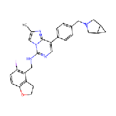 N#Cc1cn2c(NCc3c(I)ccc4c3CCO4)ncc(-c3ccc(CN4CC5CC5C4)cc3)c2n1